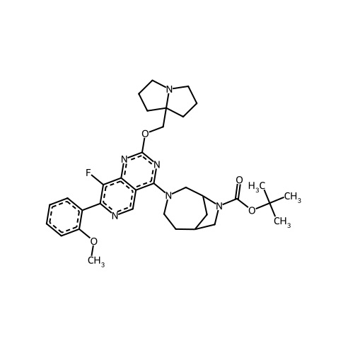 COc1ccccc1-c1ncc2c(N3CCC4CC(C3)N(C(=O)OC(C)(C)C)C4)nc(OCC34CCCN3CCC4)nc2c1F